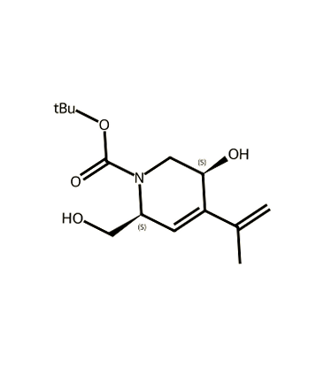 C=C(C)C1=C[C@@H](CO)N(C(=O)OC(C)(C)C)C[C@H]1O